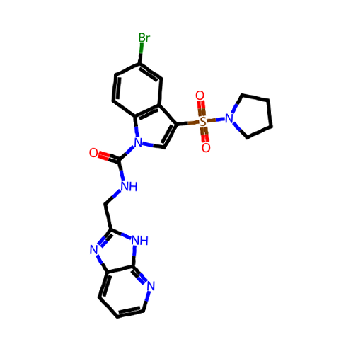 O=C(NCc1nc2cccnc2[nH]1)n1cc(S(=O)(=O)N2CCCC2)c2cc(Br)ccc21